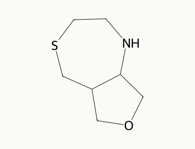 C1CSCC2COCC2N1